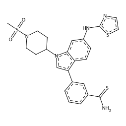 CS(=O)(=O)N1CCC(n2cc(-c3cccc(C(N)=S)c3)c3ccc(Nc4nccs4)cc32)CC1